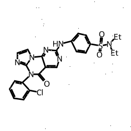 CCN(CC)S(=O)(=O)c1ccc(Nc2ncc3c(=O)n(-c4ccccc4Cl)c4nccn4c3n2)cc1